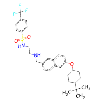 CC(C)(C)C1CCC(Oc2ccc3cc(CNCCNS(=O)(=O)c4ccc(C(F)(F)F)cc4)ccc3c2)CC1